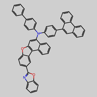 c1ccc(-c2ccc(N(c3ccc(-c4cc5ccccc5c5ccccc45)cc3)c3cc4oc5ccc(-c6nc7ccccc7o6)cc5c4c4ccccc34)cc2)cc1